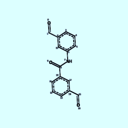 O=Cc1cccc(NC(=O)c2cccc(C=O)c2)c1